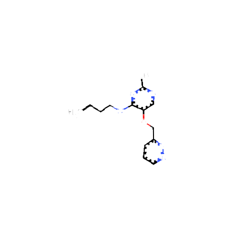 CCCCNc1nc(C)ncc1OCc1cccnn1